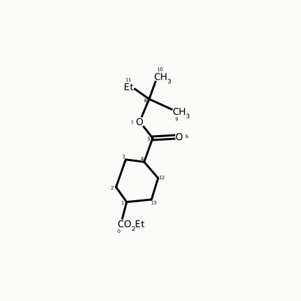 CCOC(=O)C1CCC(C(=O)OC(C)(C)CC)CC1